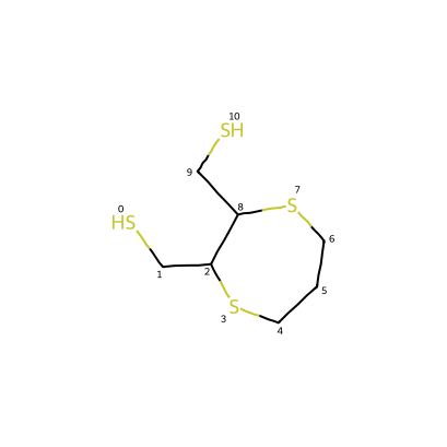 SCC1SCCCSC1CS